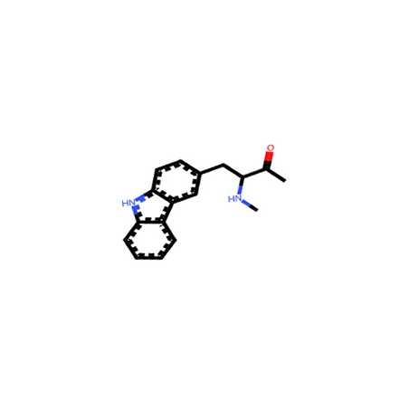 CNC(Cc1ccc2[nH]c3ccccc3c2c1)C(C)=O